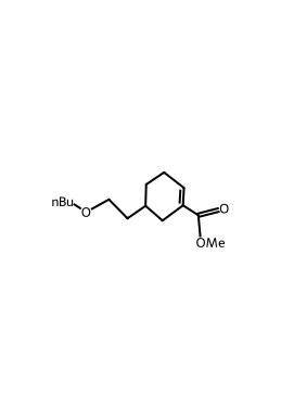 CCCCOCCC1CCC=C(C(=O)OC)C1